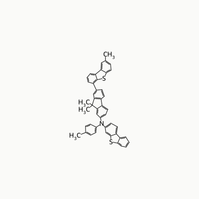 Cc1ccc(N(c2ccc3c(c2)C(C)(C)c2cc(-c4cccc5c4sc4ccc(C)cc45)ccc2-3)c2ccc3c(c2)sc2ccccc23)cc1